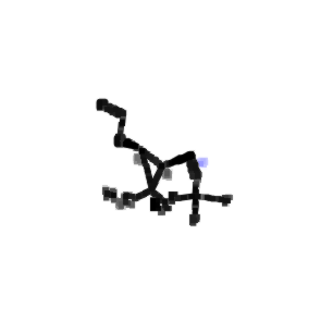 CC1(C)[C@H](/C=C\C(F)(F)F)[C@@H]1OC=O